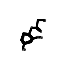 CCCc1ccc(OC(=O)CC(C)C)c(OC)c1